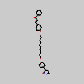 O=C1C=C(c2ccc(OCCCCCCCCCCOc3ccc(C=CC(=O)c4ccccc4)cc3)cc2)C(=O)N1